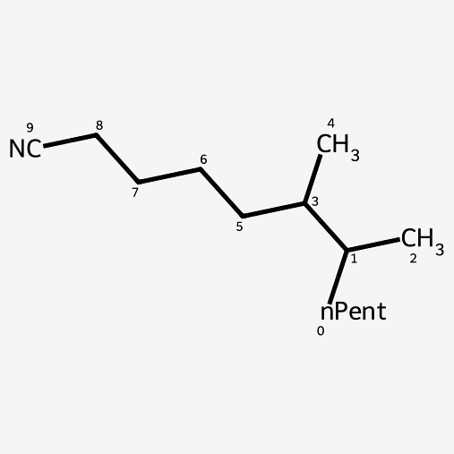 CCCCCC(C)C(C)CCCCC#N